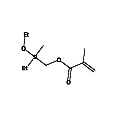 C=C(C)C(=O)OC[Si](C)(CC)OCC